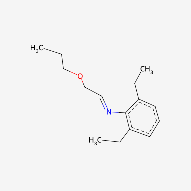 CCCOCC=Nc1c(CC)cccc1CC